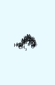 COc1nc(-c2ccnc(-c3cccc(Nc4nccc(CNC[C@H](C)O)c4F)c3Cl)c2Cl)ccc1CNC[C@H]1CCC(=O)N1